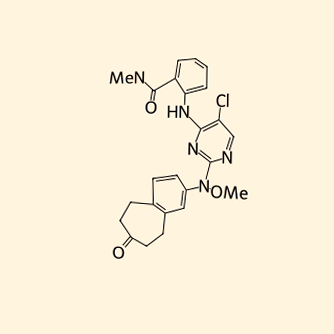 CNC(=O)c1ccccc1Nc1nc(N(OC)c2ccc3c(c2)CCC(=O)CC3)ncc1Cl